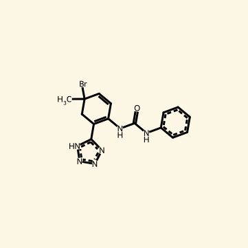 CC1(Br)C=CC(NC(=O)Nc2ccccc2)=C(c2nnn[nH]2)C1